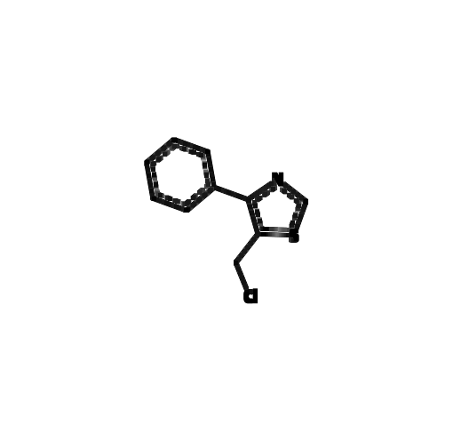 ClCc1scnc1-c1ccccc1